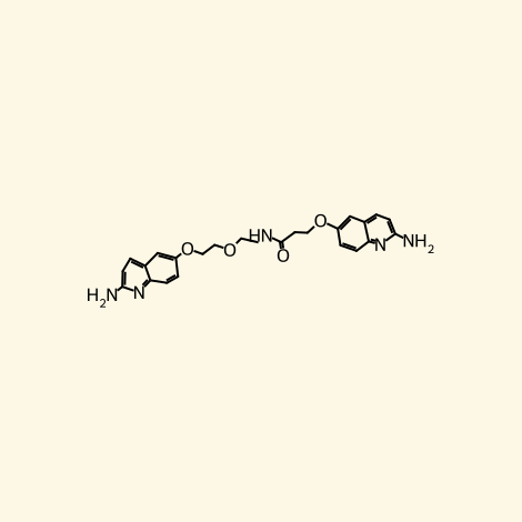 Nc1ccc2cc(OCCOCCNC(=O)CCOc3ccc4nc(N)ccc4c3)ccc2n1